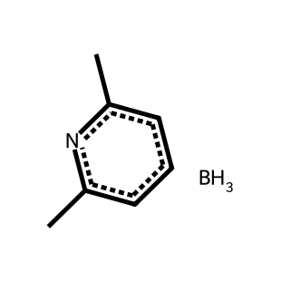 B.Cc1cccc(C)n1